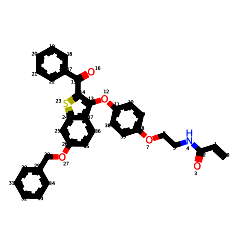 C=CC(=O)NCCOc1ccc(Oc2c(C(=O)c3ccccc3)sc3cc(OCc4ccccc4)ccc23)cc1